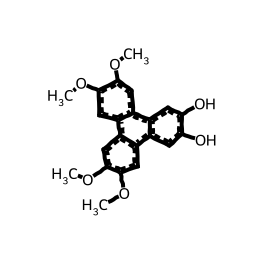 COc1cc2c3cc(O)c(O)cc3c3cc(OC)c(OC)cc3c2cc1OC